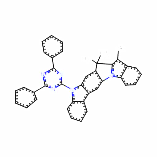 CC(C)(C)c1c2n(c3ccccc13)-c1cc3c4ccccc4n(-c4nc(-c5ccccc5)nc(-c5ccccc5)n4)c3cc1C2(C)C